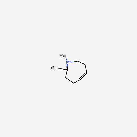 CC(C)(C)/C1=[N+](\C(C)(C)C)CC/C=C\CC1